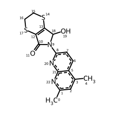 Cc1cc(C)c2ccc(N3C(=O)C4=C(SCCS4)C3O)nc2n1